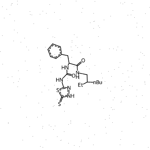 CCCCC(CC)CNC(=O)C(Cc1ccccc1)NC(=O)Nc1n[nH]c(=S)s1